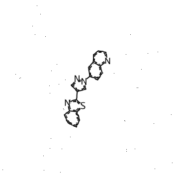 c1cnc2ccc(-n3cc(-c4nc5ccccc5s4)cn3)cc2c1